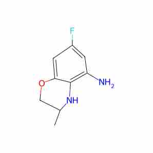 CC1COc2cc(F)cc(N)c2N1